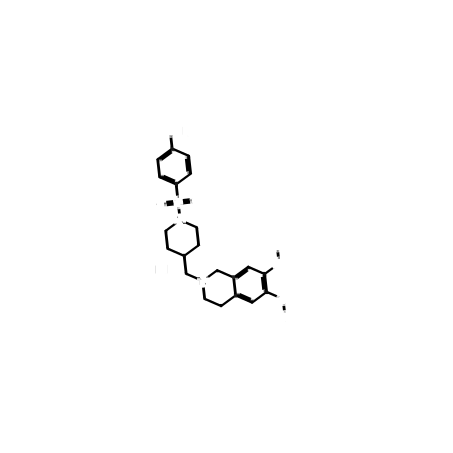 COc1cc2c(cc1OC)CN(CC1CCN(S(=O)(=O)c3ccc(C)cc3)CC1)CC2.Cl